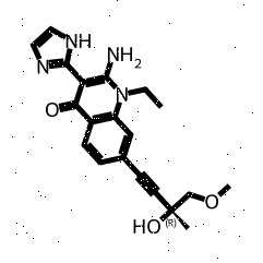 CCn1c(N)c(-c2ncc[nH]2)c(=O)c2ccc(C#C[C@@](C)(O)COC)cc21